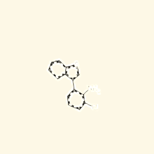 Nc1c(Cl)cccc1-c1csc2ccccc12